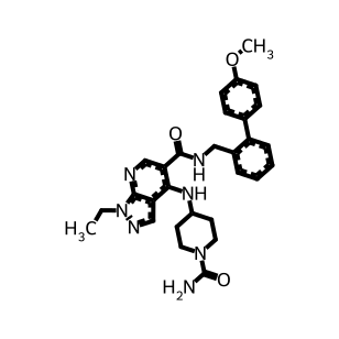 CCn1ncc2c(NC3CCN(C(N)=O)CC3)c(C(=O)NCc3ccccc3-c3ccc(OC)cc3)cnc21